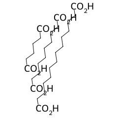 O=C(O)CCCCC(=O)O.O=C(O)CCCCCCCCC(=O)O.O=C(O)CCCCCCCCCCCCC(=O)O